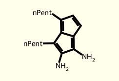 CCCCCC1=C2C(=C(N)C(N)=C2CCCCC)C=C1